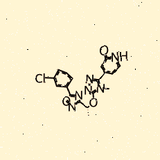 C[C@@H](Oc1nnc(-c2cc[nH]c(=O)c2)n1C)c1noc(-c2cccc(Cl)c2)n1